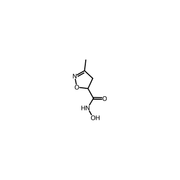 CC1=NOC(C(=O)NO)C1